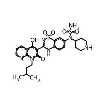 CC(C)CCn1c(=O)c(C2=NS(=O)(=O)c3cc(N(C4CCNCC4)S(N)(=O)=O)ccc3N2)c(O)c2cccnc21